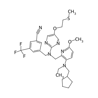 CCN(CC1CCCC1)c1ccc(OC)nc1CN(Cc1cc(C#N)cc(C(F)(F)F)c1)c1ncc(OCCSC)cn1